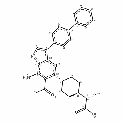 CC(=O)c1c(N)n2ncc(-c3ccc(-c4ccccc4)nc3)c2nc1[C@H]1CC[C@H]([C@H](F)C(=O)O)CC1